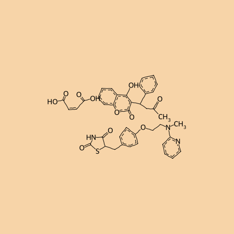 CC(=O)CC(c1ccccc1)c1c(O)c2ccccc2oc1=O.CN(CCOc1ccc(CC2SC(=O)NC2=O)cc1)c1ccccn1.O=C(O)/C=C\C(=O)O